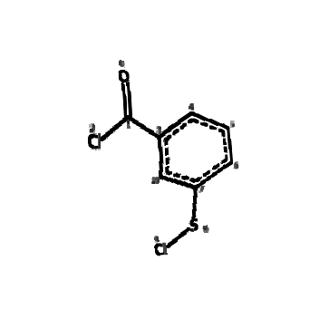 O=C(Cl)c1cccc(SCl)c1